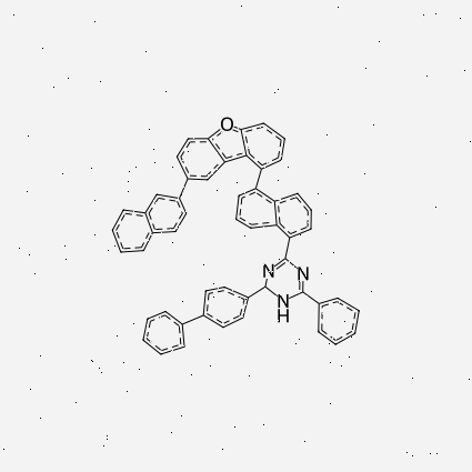 c1ccc(C2=NC(c3cccc4c(-c5cccc6oc7ccc(-c8ccc9ccccc9c8)cc7c56)cccc34)=NC(c3ccc(-c4ccccc4)cc3)N2)cc1